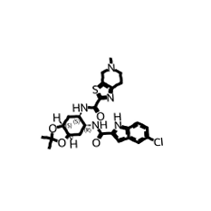 CN1CCc2nc(C(=O)N[C@H]3C[C@@H]4OC(C)(C)O[C@@H]4C[C@H]3NC(=O)c3cc4cc(Cl)ccc4[nH]3)sc2C1